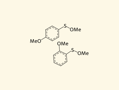 COSc1ccc(OC)cc1.COSc1ccccc1OC